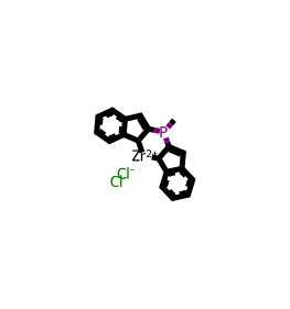 CP1C2=Cc3ccccc3[CH]2[Zr+2][CH]2C1=Cc1ccccc12.[Cl-].[Cl-]